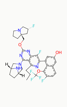 CCCc1nc(-c2cc(O)cc3ccc(F)c(OC(F)(F)F)c23)c(F)c2nc(OC[C@@]34CCCN3C[C@H](F)C4)nc(N3C[C@H]4CC[C@@H](C3)N4)c12